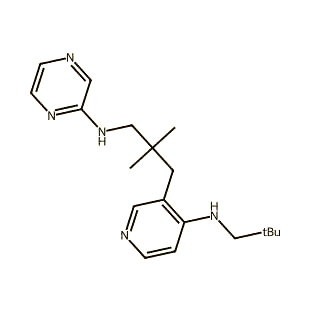 CC(C)(C)CNc1ccncc1CC(C)(C)CNc1cnccn1